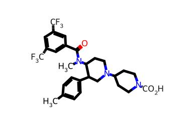 Cc1ccc(C2CN(C3CCN(C(=O)O)CC3)CCC2N(C)C(=O)c2cc(C(F)(F)F)cc(C(F)(F)F)c2)cc1